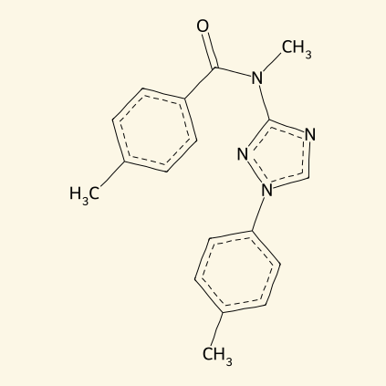 Cc1ccc(C(=O)N(C)c2ncn(-c3ccc(C)cc3)n2)cc1